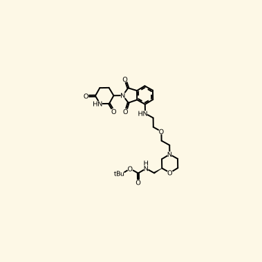 CC(C)(C)OC(=O)NC[C@H]1CN(CCOCCNc2cccc3c2C(=O)N(C2CCC(=O)NC2=O)C3=O)CCO1